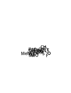 CC[C@H](C)[C@@H]([C@@H](CC(=O)N1CSC[C@@H]1[C@H](OC)[C@@H](C)C(=O)NCCc1c(F)cccc1F)OC)N(C)C(=O)[C@@H](NC(=O)[C@@H](NC)C(C)C)C(C)C